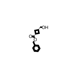 O=C(OCc1ccccc1)[C@H]1C[C@@H](CO)C1